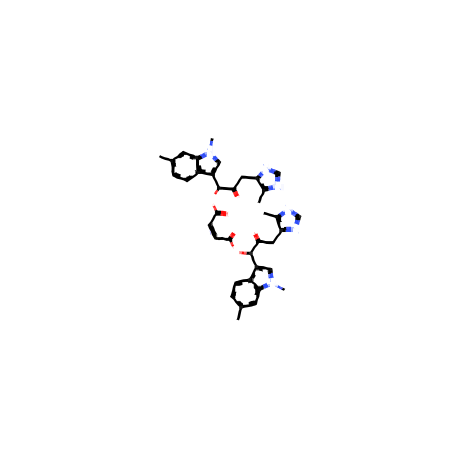 Cc1ccc2c(C(OC(=O)/C=C\C(=O)OC(C(=O)Cc3nc[nH]c3C)c3cn(C)c4cc(C)ccc34)C(=O)Cc3nc[nH]c3C)cn(C)c2c1